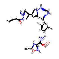 C/C=C/C(=O)n1cc(-c2cc3c(-c4ccc(CNC(=O)c5noc(C(C)(C)C)n5)c(C)c4)ncnn3c2)cn1